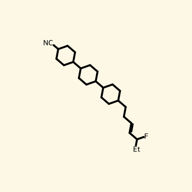 CCC(F)/C=C/CCC1CCC(C2CCC(C3CCC(C#N)CC3)CC2)CC1